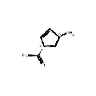 N[C@@H]1C=C[C@@H](C(=O)O)C1